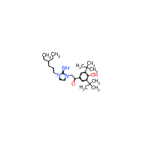 CCC(CC)CCCn1ccn(CC(=O)c2cc(C(C)(C)C)c(O)c(C(C)(C)C)c2)c1=N